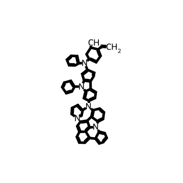 C=CC1=CC=C(N(c2ccccc2)c2ccc3c4ccc(N(c5cccnc5)c5cccc6c5c5ccc7cccc8c9ccccc9n6c5c78)cc4n(-c4ccccc4)c3c2)CC1C